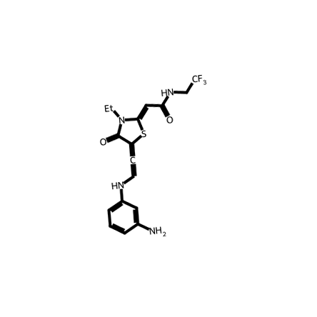 CCn1c(=O)c(=C=CNc2cccc(N)c2)s/c1=C\C(=O)NCC(F)(F)F